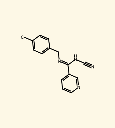 N#CN/C(=N\Cc1ccc(Cl)cc1)c1cccnc1